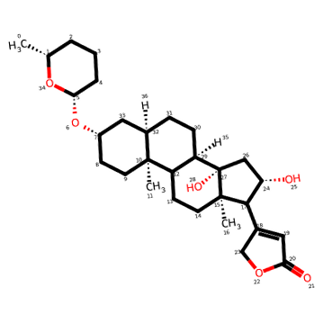 C[C@@H]1CCC[C@H](O[C@H]2CC[C@]3(C)C4CC[C@]5(C)C(C6=CC(=O)OC6)[C@@H](O)C[C@]5(O)[C@@H]4CC[C@@H]3C2)O1